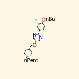 CCCCCC1CCC(COc2cnc(-c3ccc(OCCCC)c(F)c3)nc2)CC1